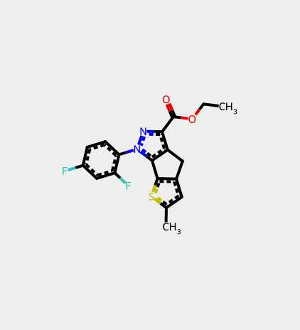 CCOC(=O)c1nn(-c2ccc(F)cc2F)c2c1Cc1cc(C)sc1-2